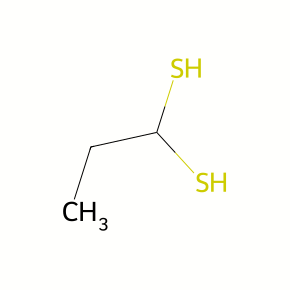 CCC(S)S